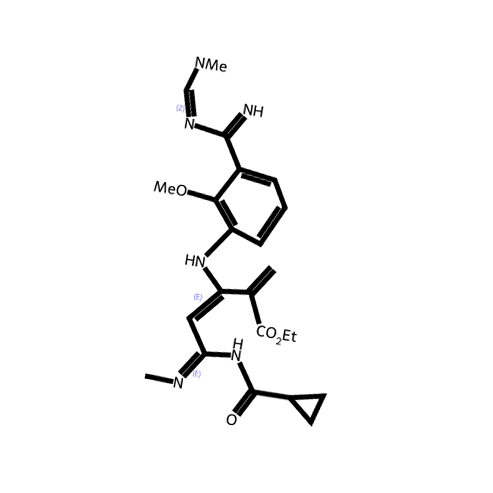 C=C(C(=O)OCC)/C(=C\C(=N/C)NC(=O)C1CC1)Nc1cccc(C(=N)/N=C\NC)c1OC